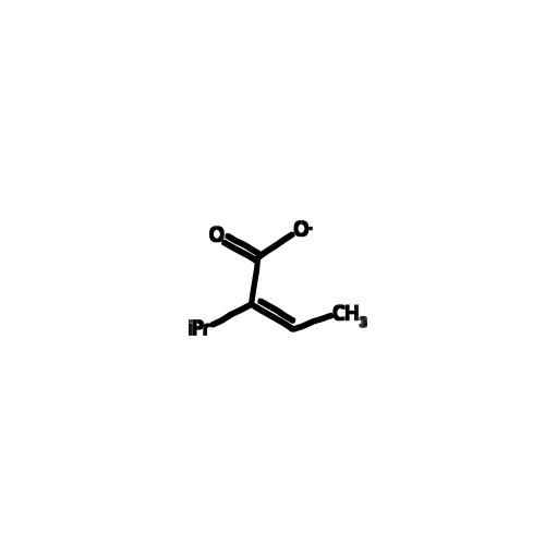 CC=C(C([O])=O)C(C)C